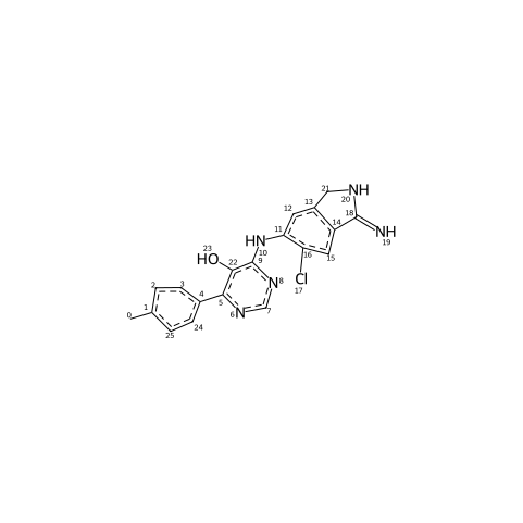 Cc1ccc(-c2ncnc(Nc3cc4c(cc3Cl)C(=N)NC4)c2O)cc1